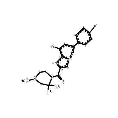 CC(C)c1cc(-c2ccc(F)cc2)nn2cc(C(=O)N3CCN(C(=O)O)CC3(C)C)nc12